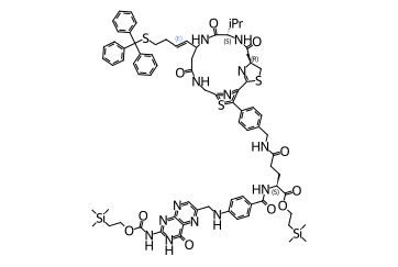 CC(C)[C@@H]1NC(=O)[C@]2(C)CSC(=N2)c2nc(sc2-c2ccc(CNC(=O)CC[C@H](NC(=O)c3ccc(NCc4cnc5nc(NC(=O)OCC[Si](C)(C)C)[nH]c(=O)c5n4)cc3)C(=O)OCC[Si](C)(C)C)cc2)CNC(=O)CC(/C=C/CCSC(c2ccccc2)(c2ccccc2)c2ccccc2)NC1=O